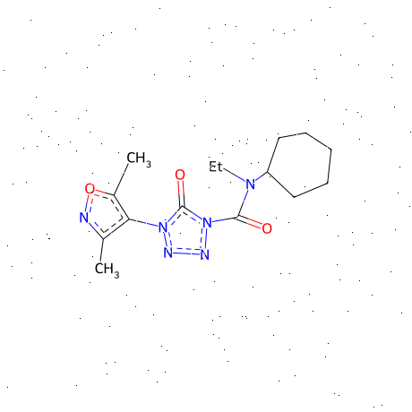 CCN(C(=O)n1nnn(-c2c(C)noc2C)c1=O)C1CCCCC1